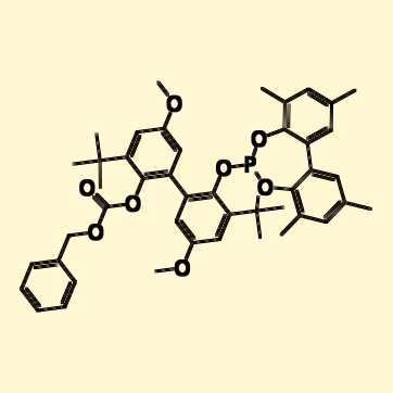 COc1cc(-c2cc(OC)cc(C(C)(C)C)c2Op2oc3c(C)cc(C)cc3c3cc(C)cc(C)c3o2)c(OC(=O)OCc2ccccc2)c(C(C)(C)C)c1